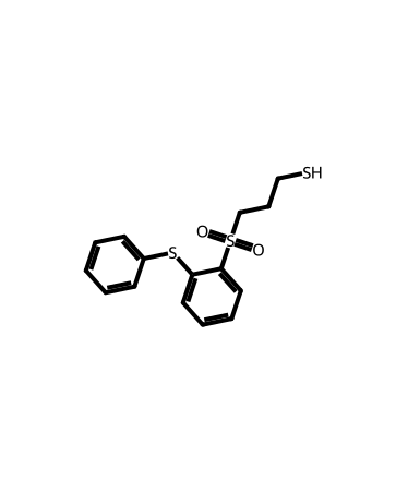 O=S(=O)(CCCS)c1ccccc1Sc1ccccc1